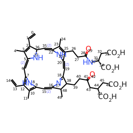 C=CC1=C(C)/C2=C/c3[nH]c(c(C)c3C=C)/C=C3N=C(/C=c4\[nH]/c(c(C)c4CCC(=O)N[C@@H](CC(=O)O)C(=O)O)=C\C1N2)C(CCC(=O)CC(CC(=O)O)C(=O)O)C\3C